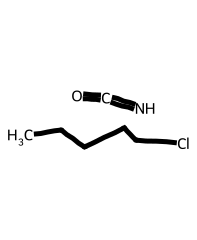 CCCCCCl.N=C=O